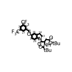 CC(C)(C)OC(=O)CC(NC(=O)C(C)(C)C)C(=O)N1CCc2cc(OCc3cc(C(F)(F)F)cc(C(F)(F)F)c3)ccc21